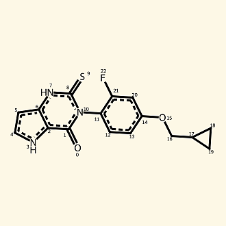 O=c1c2[nH]ccc2[nH]c(=S)n1-c1ccc(OCC2CC2)cc1F